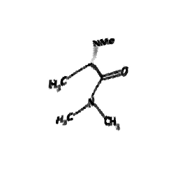 CN[C@@H](C)C(=O)N(C)C